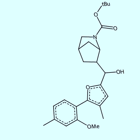 COc1cc(C)ccc1-c1oc(C(O)C2CC3CC2N(C(=O)OC(C)(C)C)C3)cc1C